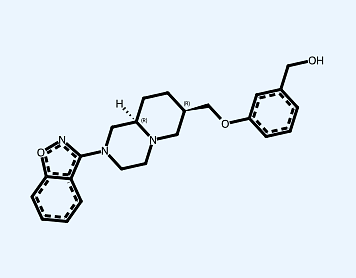 OCc1cccc(OC[C@@H]2CC[C@@H]3CN(c4noc5ccccc45)CCN3C2)c1